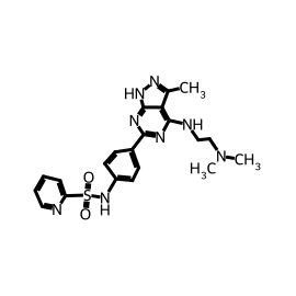 Cc1n[nH]c2nc(-c3ccc(NS(=O)(=O)c4ccccn4)cc3)nc(NCCN(C)C)c12